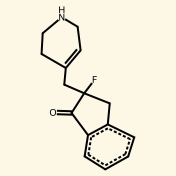 O=C1c2ccccc2CC1(F)CC1=CCNCC1